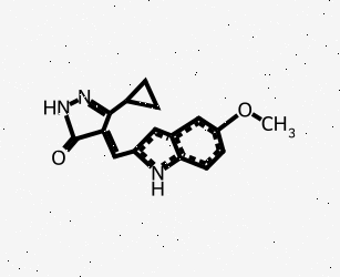 COc1ccc2[nH]c(C=C3C(=O)NN=C3C3CC3)cc2c1